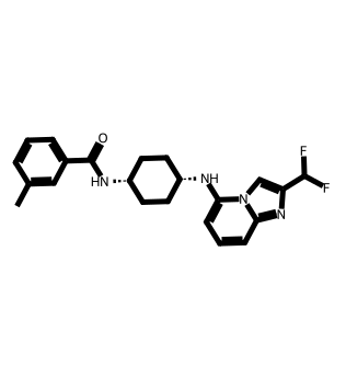 Cc1cccc(C(=O)N[C@H]2CC[C@@H](Nc3cccc4nc(C(F)F)cn34)CC2)c1